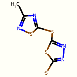 Cc1nsc(Sc2nnc([S])s2)n1